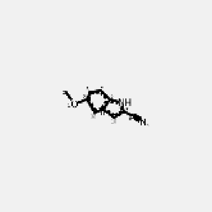 COc1ccc2[nH]c(C#N)cc2c1